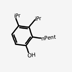 CCCCCc1c(O)ccc(C(C)C)c1C(C)C